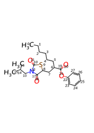 CCCCCCC(CC1SC(=O)N(CC(C)C)C1=O)C(=O)Oc1ccccc1